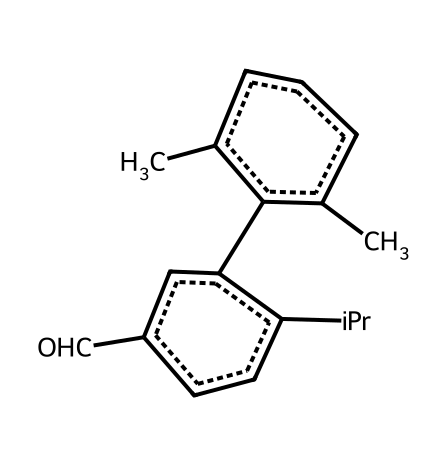 Cc1cccc(C)c1-c1cc(C=O)ccc1C(C)C